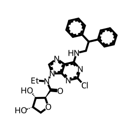 CCN(C(=O)[C@H]1OC[C@H](O)[C@@H]1O)n1cnc2c(NCC(c3ccccc3)c3ccccc3)nc(Cl)nc21